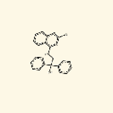 OC(CNc1nc(Cl)nc2ccccc12)(c1ccccc1)c1ccccc1